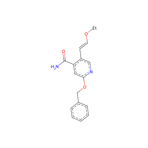 CCOC=Cc1cnc(OCc2ccccc2)cc1C(N)=O